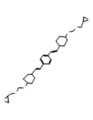 C(=C\C1CCC(OCOCC2CO2)CC1)/c1ccc(/C=C/C2CCC(OCOCC3CO3)CC2)cc1